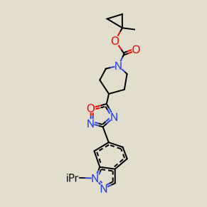 CC(C)n1ncc2ccc(-c3noc(C4CCN(C(=O)OC5(C)CC5)CC4)n3)cc21